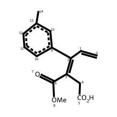 C=C/C(=C(\CC(=O)O)C(=O)OC)c1cccc(C)c1